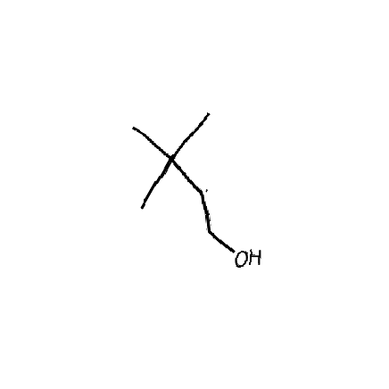 CC(C)(C)[CH]CO